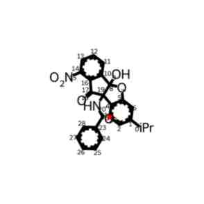 CC(C)c1ccc2c(c1)OC1(O)c3cccc([N+](=O)[O-])c3C(=O)C21NC(=O)c1ccccc1